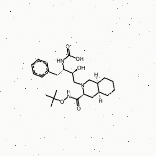 CC(C)(C)ONC(=O)[C@@H]1C[C@@H]2CCCC[C@@H]2CN1C[C@H](O)[C@H](Cc1ccccc1)NC(=O)O